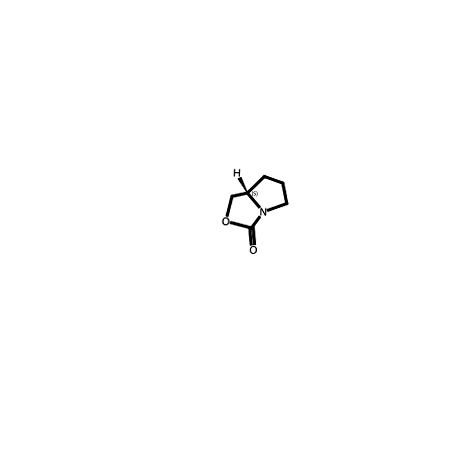 O=C1OC[C@@H]2CCCN12